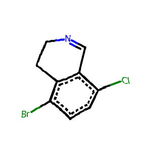 Clc1ccc(Br)c2c1C=NCC2